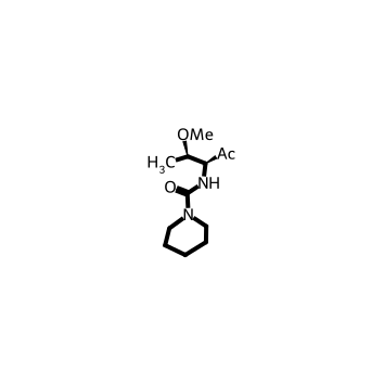 CO[C@H](C)[C@H](NC(=O)N1CCCCC1)C(C)=O